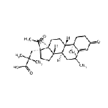 CC(=O)[C@]1(CC(C)(C)C(=O)O)CC[C@H]2[C@@H]3CC(C)C4=CC(=O)CC[C@]4(C)[C@H]3CC[C@@]21C